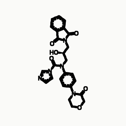 O=C1c2ccccc2C(=O)N1C[C@H](O)CN(C(=O)n1ccnc1)c1ccc(N2CCOCC2=O)cc1